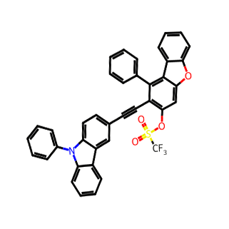 O=S(=O)(Oc1cc2oc3ccccc3c2c(-c2ccccc2)c1C#Cc1ccc2c(c1)c1ccccc1n2-c1ccccc1)C(F)(F)F